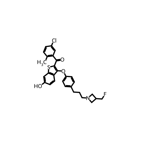 Cc1ccc(Cl)cc1C(=O)c1sc2cc(O)ccc2c1Oc1ccc(CCCN2CC(CF)C2)cc1